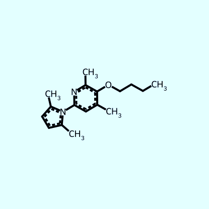 CCCCOc1c(C)cc(-n2c(C)ccc2C)nc1C